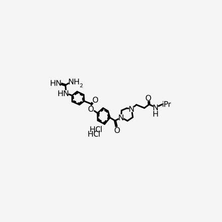 CC(C)NC(=O)CCN1CCN(C(=O)c2ccc(OC(=O)c3ccc(NC(=N)N)cc3)cc2)CC1.Cl.Cl